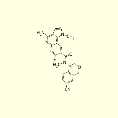 CN(C(=O)c1cc2c(cc1F)nc(N)c1cnn(C)c12)[C@@H]1COCc2cc(C#N)ccc21